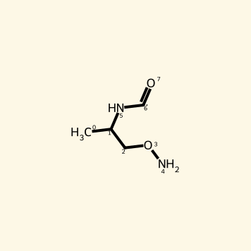 CC(CON)N[C]=O